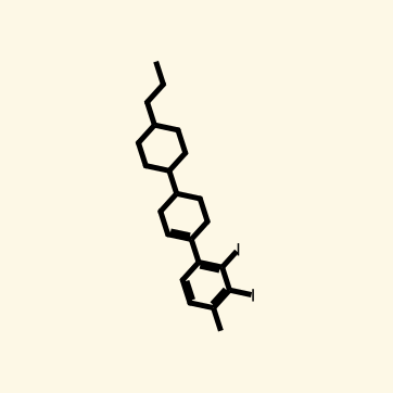 CCCC1CCC(C2CC=C(c3ccc(C)c(I)c3I)CC2)CC1